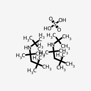 CC(C)(C)CC(C)(C)NC(C)(C)C.CC(C)(C)CC(C)(C)NC(C)(C)C.O=S(=O)(O)O